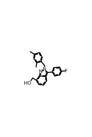 Cc1ccc(Cn2nc3c(CO)cccc3c2-c2ccc(F)cc2)c(C)c1